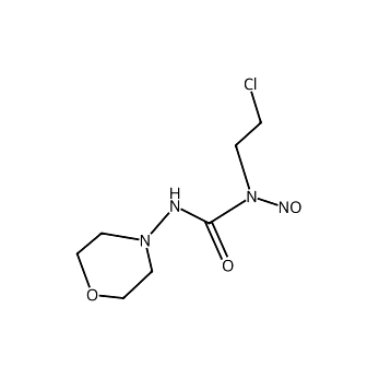 O=NN(CCCl)C(=O)NN1CCOCC1